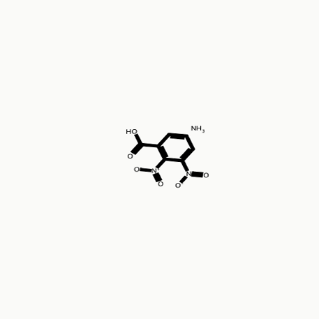 N.O=C(O)c1cccc([N+](=O)[O-])c1[N+](=O)[O-]